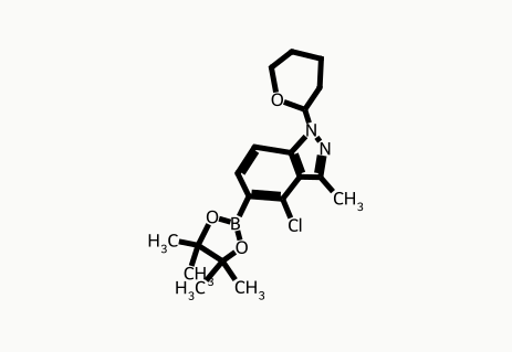 Cc1nn(C2CCCCO2)c2ccc(B3OC(C)(C)C(C)(C)O3)c(Cl)c12